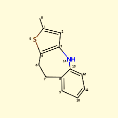 Cc1cc2c(s1)CCc1ccccc1N2